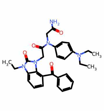 CCN(CC)c1ccc(N(CC(N)=O)C(=O)Cn2c(=O)n(CC)c3cccc(C(=O)c4ccccc4)c32)cc1